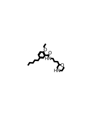 CCCCCc1ccc(OCC)c(C(=O)NCCCC2CNCCO2)c1